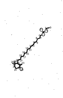 CCOC(=O)OCCCCCCCCCCCCCCCC1=C(C)C(=O)CCC1(C)C